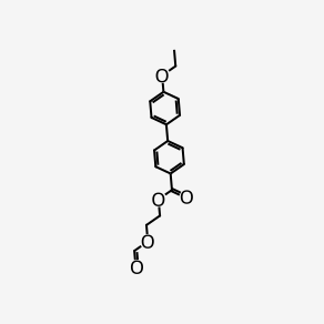 CCOc1ccc(-c2ccc(C(=O)OCCOC=O)cc2)cc1